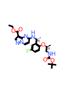 CCOC(=O)c1cnn2ccc(N[C@H](C)c3cc(F)ccc3O[C@@H](C)CNC(=O)OC(C)(C)C)nc12